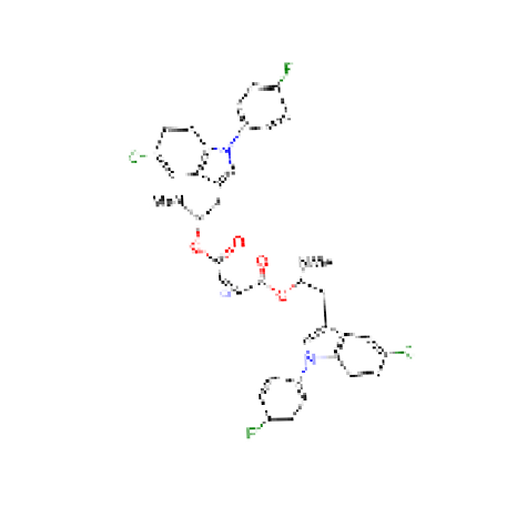 CNC(Cc1cn(-c2ccc(F)cc2)c2ccc(Cl)cc12)OC(=O)/C=C\C(=O)OC(Cc1cn(-c2ccc(F)cc2)c2ccc(Cl)cc12)NC